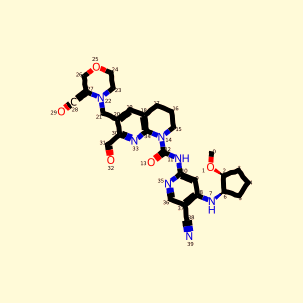 CO[C@H]1CCC[C@H]1Nc1cc(NC(=O)N2CCCc3cc(CN4CCOCC4=C=O)c(C=O)nc32)ncc1C#N